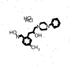 Cc1ccc(C=NO)c(CC(O)CN2CCN(c3ccccc3)CC2)c1.Cl.Cl